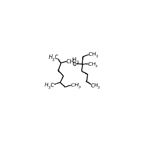 CCC(C)CCC(C)C.CCCCC(C)(C)CC